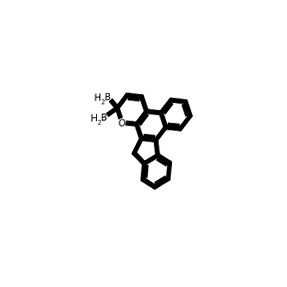 BC1(B)C=Cc2c(c3c(c4ccccc24)-c2ccccc2C3)O1